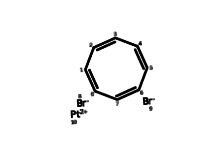 C1=C\C=C/C=C\C=C/1.[Br-].[Br-].[Pt+2]